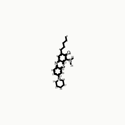 CCCCCc1cc2nc3ccc(N4CCCCC4)cc3sc-2c(N(C)C)c1=O